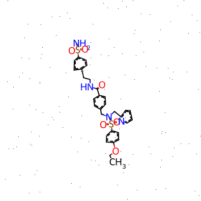 CCOc1ccc(S(=O)(=O)N(Cc2ccc(C(=O)NCCc3ccc(S(N)(=O)=O)cc3)cc2)Cc2ccccn2)cc1